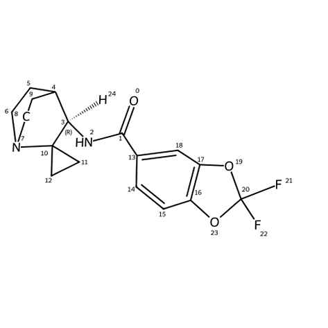 O=C(N[C@@H]1C2CCN(CC2)C12CC2)c1ccc2c(c1)OC(F)(F)O2